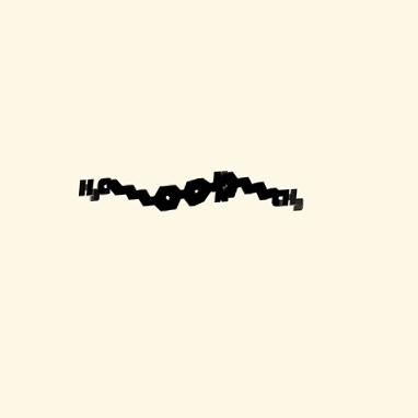 CCCCCCCc1ccc(-c2ccc(-c3ncc(CCCCCC)cn3)cc2)cc1